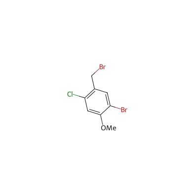 COc1cc(Cl)c(CBr)cc1Br